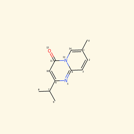 Cc1ccc2nc(C(C)C)cc(=O)n2c1